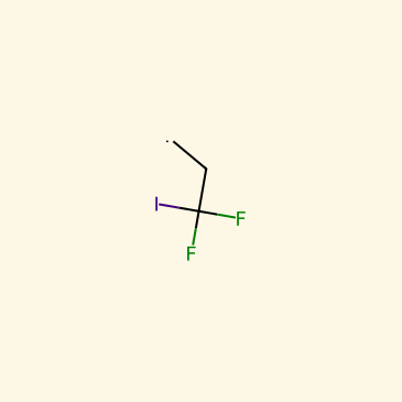 [CH2]CC(F)(F)I